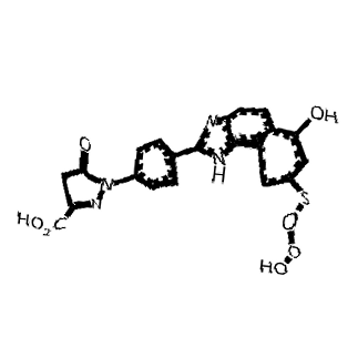 O=C(O)C1=NN(c2ccc(-c3nc4ccc5c(O)cc(SOOO)cc5c4[nH]3)cc2)C(=O)C1